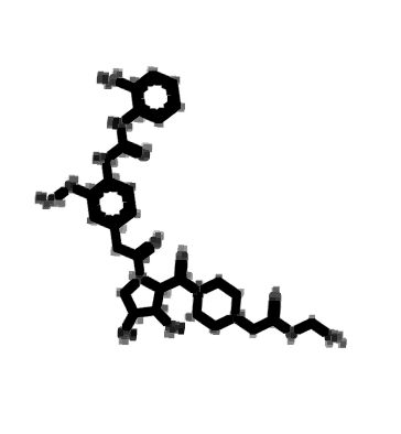 CCOC(=O)CN1CCN(C(=O)C2C(O)C(O)CN2C(=O)Cc2ccc(NC(=O)Nc3ccccc3C)c(OC)c2)CC1